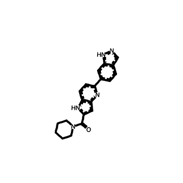 O=C(c1cc2nc(-c3ccc4cn[nH]c4c3)ccc2[nH]1)N1CCCCC1